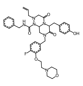 C=CCN1CC(=O)N2C(Cc3ccc(O)cc3)C(=O)N(Cc3ccc(F)c(OCCN4CCOCC4)c3)CC2N1C(=O)NCc1ccccc1